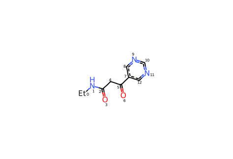 CCNC(=O)CC(=O)c1cncnc1